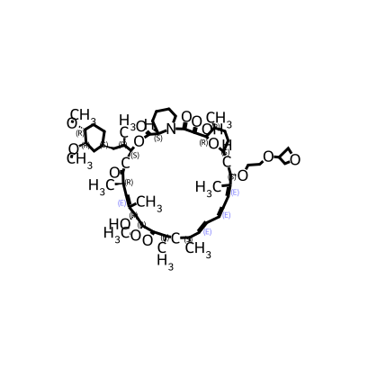 CO[C@@H]1CC[C@@H](C[C@@H](C)[C@@H]2CC(=O)[C@H](C)/C=C(\C)[C@@H](O)[C@@H](OC)C(=O)[C@H](C)C[C@H](C)/C=C/C=C/C=C(\C)[C@@H](OCCOC3COC3)C[C@@H]3CC[C@@H](C)[C@@](O)(O3)C(=O)C(=O)N3CCCC[C@H]3C(=O)O2)C[C@H]1OC